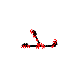 O=C(CCCCCCCOc1ccc2ccc(=O)oc2c1)OCC(COC(=O)CCCCCCCOc1ccc2ccc(=O)oc2c1)OC(=O)CCCCCCCOc1ccc2ccc(=O)oc2c1